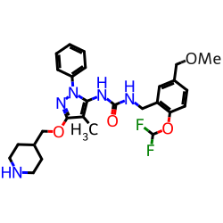 COCc1ccc(OC(F)F)c(CNC(=O)Nc2c(C)c(OCC3CCNCC3)nn2-c2ccccc2)c1